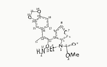 CCN(C(=O)OC)c1ccccc1/C(ON)=C(/C)c1ccc2c(c1)OCO2